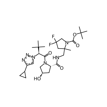 CC(C)(C)OC(=O)N1CC(F)(F)CC1(C)CNC(=O)[C@@H]1C[C@@H](O)CN1C(=O)[C@@H](n1cc(C2CC2)nn1)C(C)(C)C